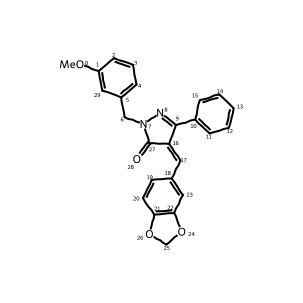 COc1cccc(CN2N=C(c3ccccc3)C(=Cc3ccc4c(c3)OCO4)C2=O)c1